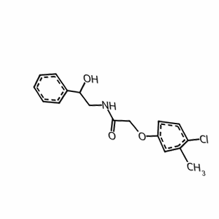 Cc1cc(OCC(=O)NCC(O)c2ccccc2)ccc1Cl